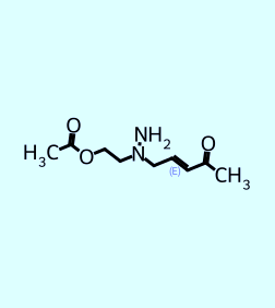 CC(=O)/C=C/CN(N)CCOC(C)=O